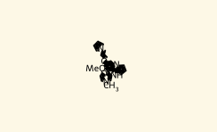 COc1cc2c(N[C@@H]3COCCN(C)C3)c3c(nc2cc1OCCCN1CCCC1)CCC3